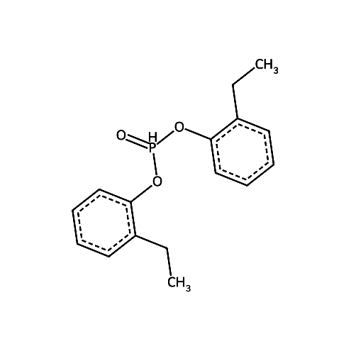 CCc1ccccc1O[PH](=O)Oc1ccccc1CC